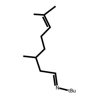 CC(C)=CCCC(C)C/C=N/C(C)(C)C